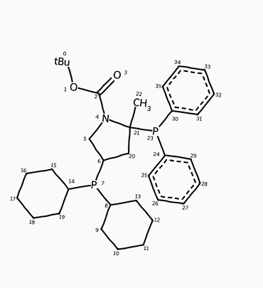 CC(C)(C)OC(=O)N1CC(P(C2CCCCC2)C2CCCCC2)CC1(C)P(c1ccccc1)c1ccccc1